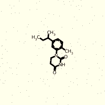 CCC(C)c1ccc(C)c(N2CCC(=O)NC2=O)c1